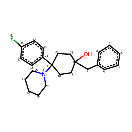 OC1(Cc2ccccc2)CCC(c2ccc(F)cc2)(N2CCCCC2)CC1